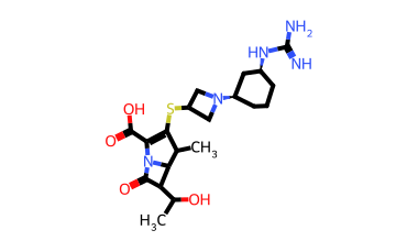 CC(O)C1C(=O)N2C(C(=O)O)=C(SC3CN([C@@H]4CCC[C@H](NC(=N)N)C4)C3)C(C)C12